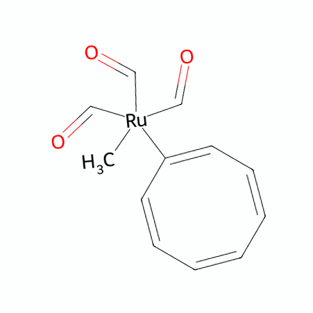 [CH3][Ru]([CH]=O)([CH]=O)([CH]=O)[C]1=CC=CC=CC=C1